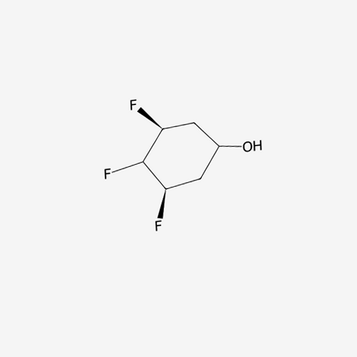 OC1C[C@@H](F)C(F)[C@@H](F)C1